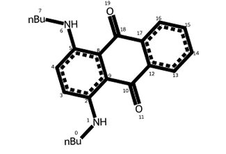 CCCCNc1ccc(NCCCC)c2c1C(=O)c1ccccc1C2=O